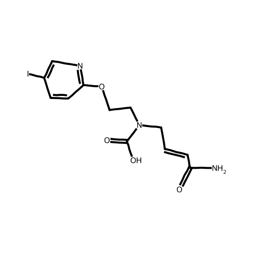 NC(=O)C=CCN(CCOc1ccc(I)cn1)C(=O)O